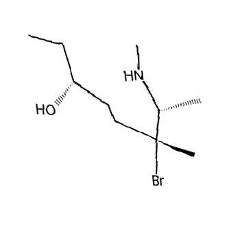 CC[C@@H](O)CC[C@@](C)(Br)[C@@H](C)NC